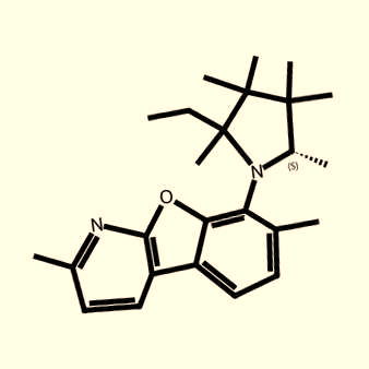 CCC1(C)N(c2c(C)ccc3c2oc2nc(C)ccc23)[C@@H](C)C(C)(C)C1(C)C